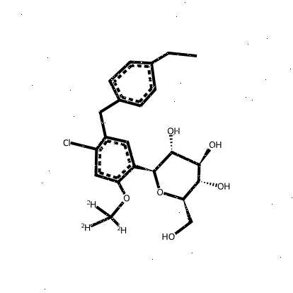 [2H]C([2H])([2H])Oc1cc(Cl)c(Cc2ccc(CC)cc2)cc1[C@@H]1O[C@H](CO)[C@@H](O)[C@H](O)[C@H]1O